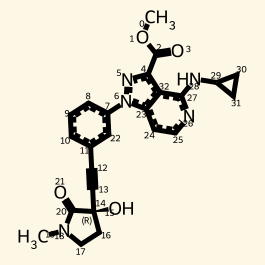 COC(=O)c1nn(-c2cccc(C#C[C@]3(O)CCN(C)C3=O)c2)c2ccnc(NC3CC3)c12